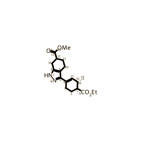 CCOC(=O)C1CCC(c2n[nH]c3c2CCC(C(=O)OC)C3)=C[C@@H]1C